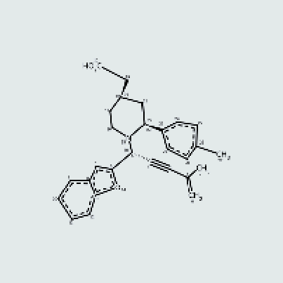 C=C(C)C#C[C@H](c1cc2ccccc2o1)N1CC[C@@H](CC(=O)O)C[C@H]1c1ccc(C)cc1